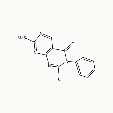 CSc1ncc2c(=O)n(-c3ccccc3)c(Cl)nc2n1